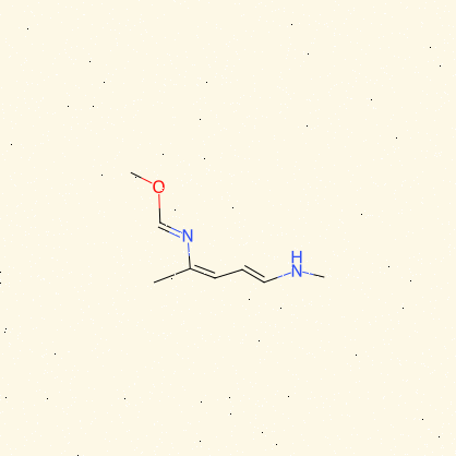 CN/C=C/C=C(C)\N=C\OC